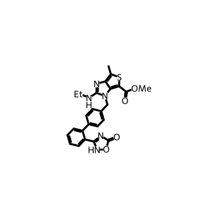 CCNc1nc2c(C)sc(C(=O)OC)c2n1Cc1ccc(-c2ccccc2-c2nc(=O)o[nH]2)cc1